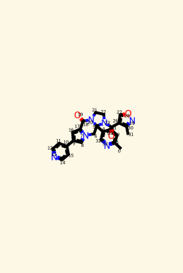 Cc1ccc(C23Cn4cc(-c5ccncc5)cc4C(=O)N2CCN3C(=O)c2conc2C)cn1